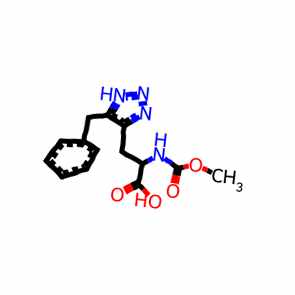 COC(=O)NC(Cc1nn[nH]c1Cc1ccccc1)C(=O)O